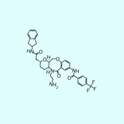 NCCN1C(=O)c2cc(NC(=O)c3ccc(C(F)(F)F)cc3)ccc2OC[C@@H]2O[C@H](CC(=O)NC3Cc4ccccc4C3)CC[C@@H]21